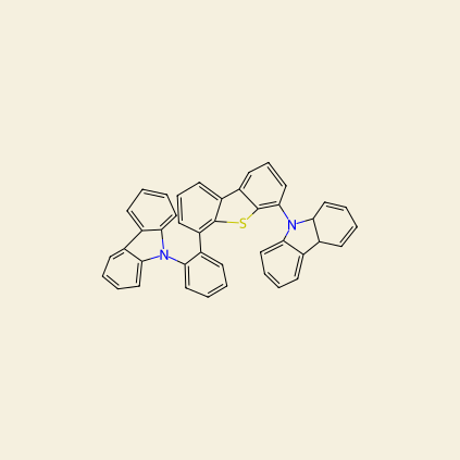 C1=CC2c3ccccc3N(c3cccc4c3sc3c(-c5ccccc5-n5c6ccccc6c6ccccc65)cccc34)C2C=C1